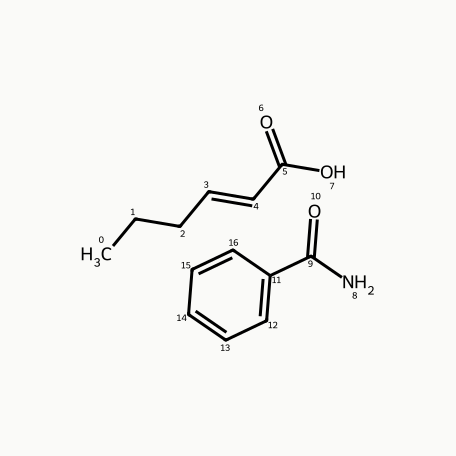 CCCC=CC(=O)O.NC(=O)c1ccccc1